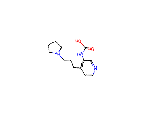 O=C(O)Nc1cnccc1CCCN1CCCC1